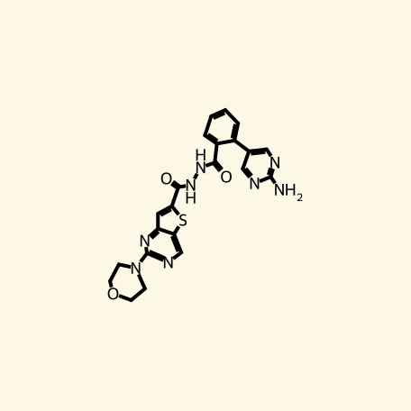 Nc1ncc(-c2ccccc2C(=O)NNC(=O)c2cc3nc(N4CCOCC4)ncc3s2)cn1